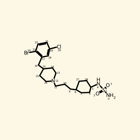 NS(=O)(=O)NC1CCC(CCCN2CCC(Cc3cc(Cl)ccc3Br)CC2)CC1